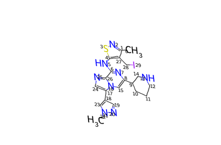 Cc1nsc(Nc2nc(C3CCCNC3)cn3c(-c4cnn(C)c4)cnc23)c1CI